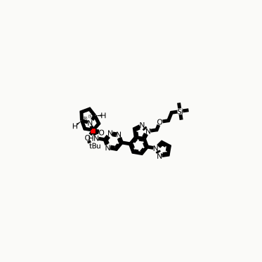 CC(C)(C)OC(=O)N1[C@@H]2CC[C@H]1CC(Nc1ncc(-c3ccc(-n4cccn4)c4c3cnn4COCC[Si](C)(C)C)nn1)C2